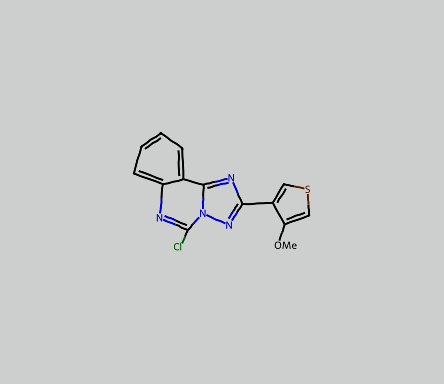 COc1cscc1-c1nc2c3ccccc3nc(Cl)n2n1